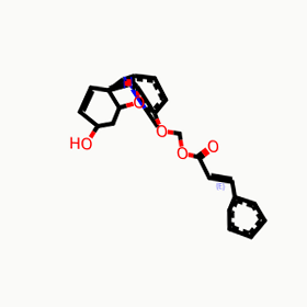 CN1CCC23C=CC(O)CC2Oc2c(OCOC(=O)/C=C/c4ccccc4)ccc(c23)C1